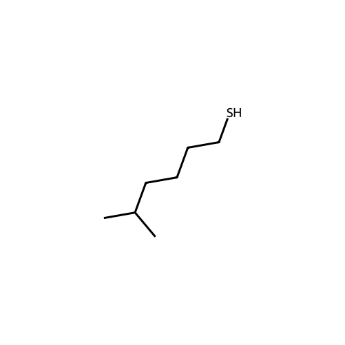 CC(C)CCCCS